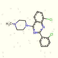 CN1CCN(c2nc(-c3ccccc3Cl)nc3c(Cl)cccc23)CC1